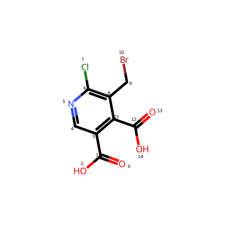 O=C(O)c1cnc(Cl)c(CBr)c1C(=O)O